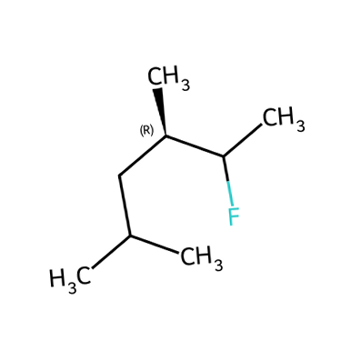 CC(C)C[C@@H](C)C(C)F